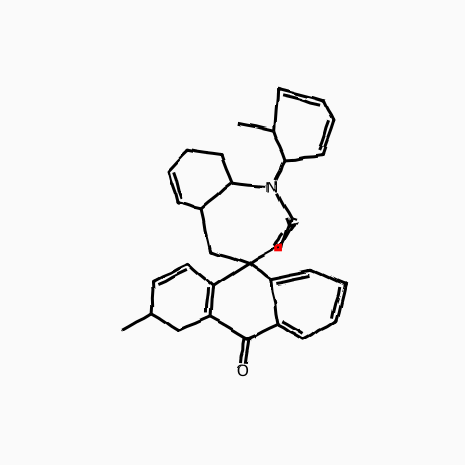 CC1C=CC2=C(C1)C(=O)c1ccccc1C21CC2C=CCCC2N(C2C=CC=CC2C)c2ccccc21